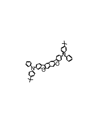 CC(C)(C)c1ccc(N(c2ccccc2)c2ccc3c(c2)oc2cc4cc5oc6cc(N(c7ccccc7)c7ccc(C(C)(C)C)cc7)ccc6c5cc4cc23)cc1